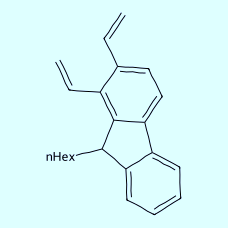 C=Cc1ccc2c(c1C=C)C(CCCCCC)c1ccccc1-2